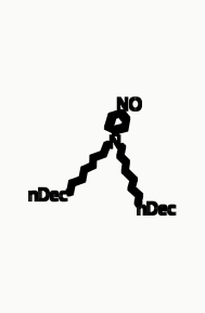 CCCCCCCCCCCCCCCCCCN(CCCCCCCCCCCCCCCCCC)c1ccc(N=O)cc1